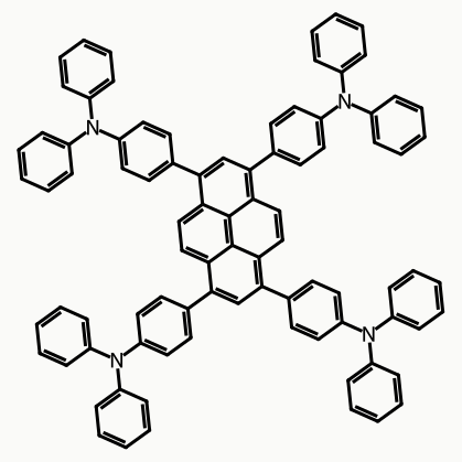 c1ccc(N(c2ccccc2)c2ccc(-c3cc(-c4ccc(N(c5ccccc5)c5ccccc5)cc4)c4ccc5c(-c6ccc(N(c7ccccc7)c7ccccc7)cc6)cc(-c6ccc(N(c7ccccc7)c7ccccc7)cc6)c6ccc3c4c65)cc2)cc1